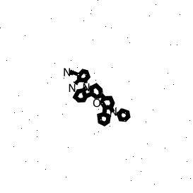 N#Cc1cccc(-n2c3ccccc3c3c4oc5c(ccc6c5c5ccccc5n6-c5ccccc5)c4ccc32)c1C#N